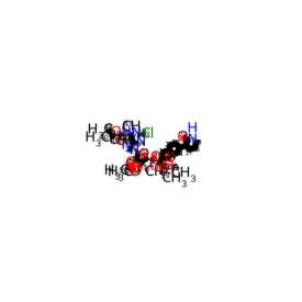 C#C[C@@]1(OC(C)=O)[C@@H](COC(Cc2ccc(-c3ccc[nH]c3=O)cc2)(C(=O)OCC)C(=O)OCC)O[C@@H](n2cnc3c(N(C)C(=O)OC(C)(C)C)nc(Cl)nc32)[C@@H]1OC(C)=O